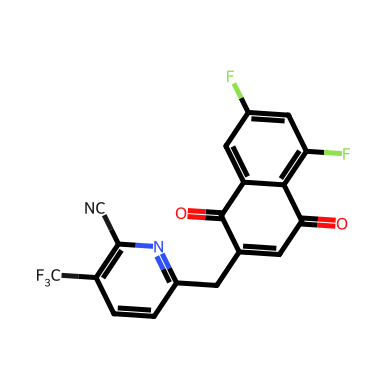 N#Cc1nc(CC2=CC(=O)c3c(F)cc(F)cc3C2=O)ccc1C(F)(F)F